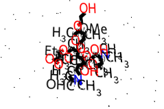 CC[C@@H](OC(=O)[C@H](C)[C@@H](O[C@H]1C[C@@](C)(OC)[C@@H](OCCCO)[C@H](C)O1)[C@H](C)[C@@H](O[C@@H]1O[C@H](C)C[C@H](N(C)C)[C@H]1O)[C@](C)(O)C[C@@H](C)CN(C)[C@H](C)C=O)[C@@]1(C)OC1=O